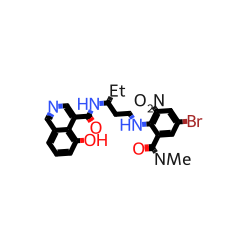 CCC(CCNc1c(C(=O)NC)cc(Br)cc1[N+](=O)[O-])NC(=O)c1cncc2cccc(O)c12